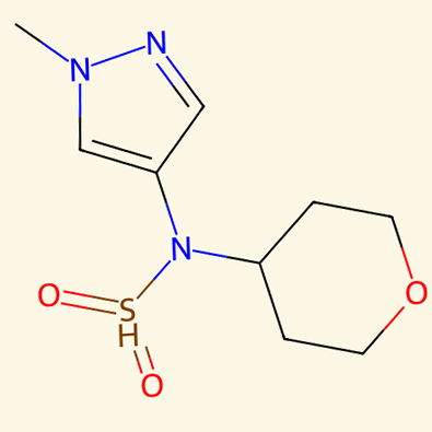 Cn1cc(N(C2CCOCC2)[SH](=O)=O)cn1